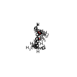 C=C(C)[C@@H]1CC[C@]2(NCCN3CCSCC3)CC[C@]3(C)[C@H](CC[C@@H]4[C@@]5(C)CC=C(C6=CC([Si](C)(C)C(C)(C)C)C(COc7cc(C#N)ccn7)(C(=O)O)CC6)C(C)(C)[C@@H]5CC[C@]43C)[C@@H]12